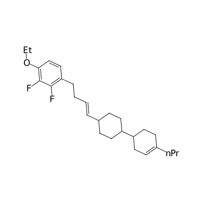 CCCC1=CCC(C2CCC(/C=C/CCc3ccc(OCC)c(F)c3F)CC2)CC1